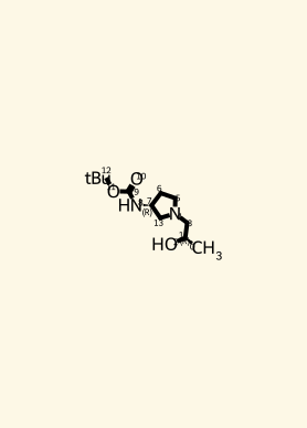 C[C@@H](O)CN1CC[C@@H](NC(=O)OC(C)(C)C)C1